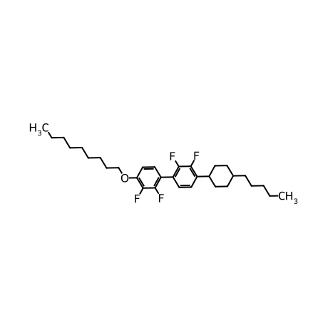 CCCCCCCCCOc1ccc(-c2ccc(C3CCC(CCCCC)CC3)c(F)c2F)c(F)c1F